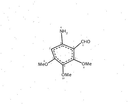 COc1cc(N)c(C=O)c(OC)c1OC